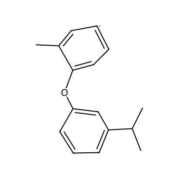 Cc1c[c]ccc1Oc1cccc(C(C)C)c1